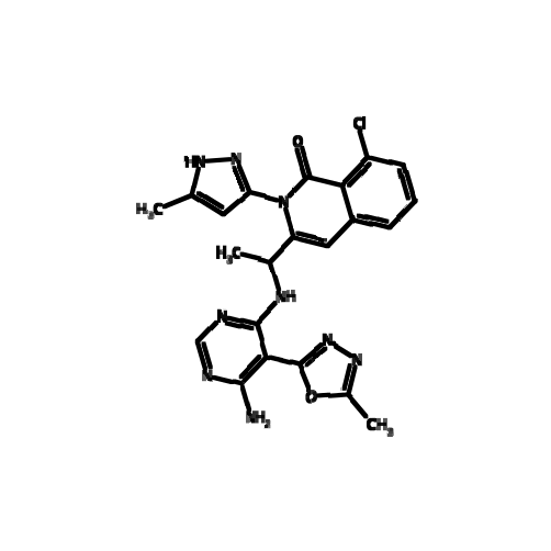 Cc1cc(-n2c(C(C)Nc3ncnc(N)c3-c3nnc(C)o3)cc3cccc(Cl)c3c2=O)n[nH]1